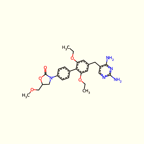 CCOc1cc(Cc2cnc(N)nc2N)cc(OCC)c1-c1ccc(N2CC(COC)OC2=O)cc1